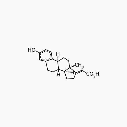 C[C@]12CC[C@@H]3c4ccc(O)cc4CC[C@H]3[C@@H]1CC/C2=C\C(=O)O